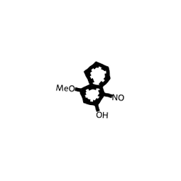 COc1cc(O)c(N=O)c2ccccc12